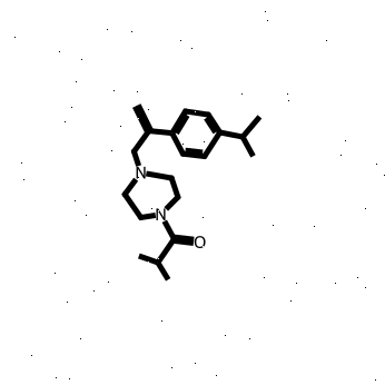 C=C(CN1CCN(C(=O)C(C)C)CC1)c1ccc(C(C)C)cc1